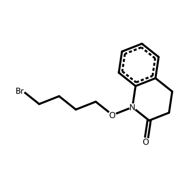 O=C1CCc2ccccc2N1OCCCCBr